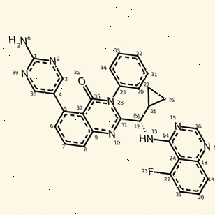 Nc1ncc(-c2cccc3nc([C@@H](Nc4ncnc5cccc(F)c45)C4CC4)n(-c4ccccc4)c(=O)c23)cn1